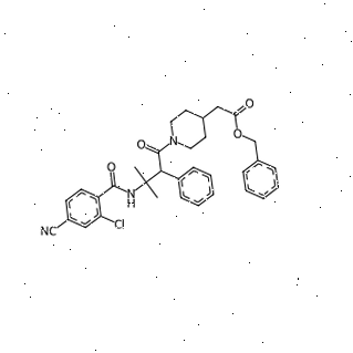 CC(C)(NC(=O)c1ccc(C#N)cc1Cl)C(C(=O)N1CCC(CC(=O)OCc2ccccc2)CC1)c1ccccc1